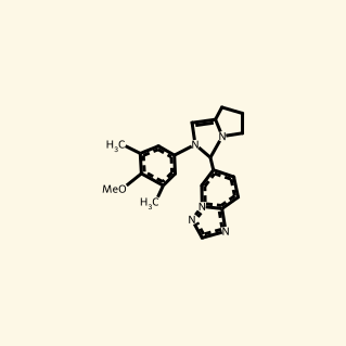 COc1c(C)cc(N2C=C3CCCN3C2c2ccc3ncnn3c2)cc1C